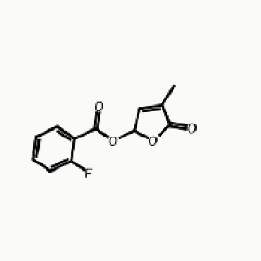 CC1=CC(OC(=O)c2ccccc2F)OC1=O